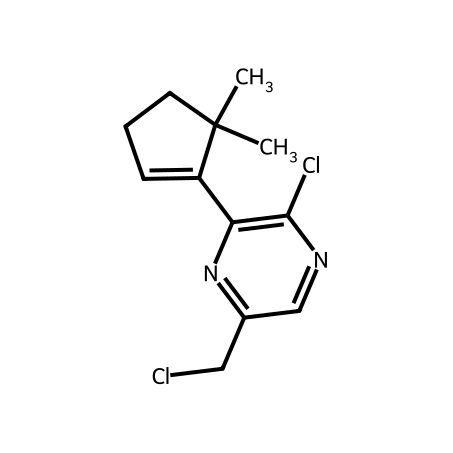 CC1(C)CCC=C1c1nc(CCl)cnc1Cl